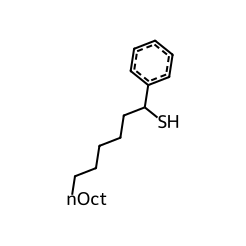 CCCCCCCCCCCCCC(S)c1ccccc1